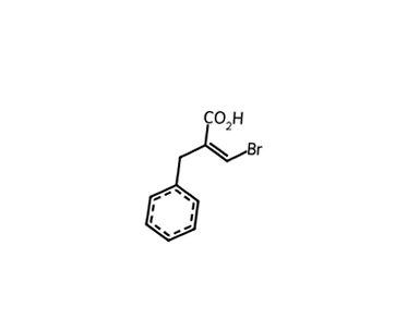 O=C(O)C(=CBr)Cc1ccccc1